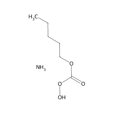 CCCCCOC(=O)OO.N